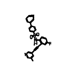 Cc1cncc(C#Cc2cc(F)ccc2NS(=O)(=O)c2ccc(-c3ccccc3)cc2)c1